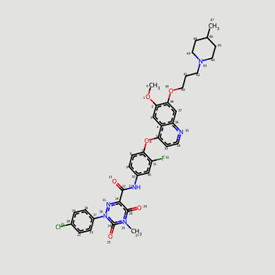 COc1cc2c(Oc3ccc(NC(=O)c4nn(-c5ccc(Cl)cc5)c(=O)n(C)c4=O)cc3F)ccnc2cc1OCCCN1CCC(C)CC1